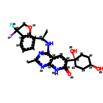 Cc1nc(N[C@H](C)c2cccc3c2OCC3(F)I)c2cc([C@]3(O)CC[C@H](O)CC3)c(=O)[nH]c2n1